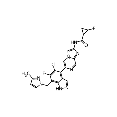 Cc1ccn(Cc2c(F)c(Cl)c(-c3cn4cc(NC(=O)C5CC5F)nc4cn3)c3cn[nH]c23)n1